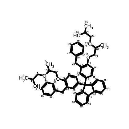 CC(O)COC(C)COc1ccc(C2(c3ccc(OCC(C)OCC(C)O)c(Cc4ccccc4)c3)c3ccccc3-c3ccccc32)cc1Cc1ccccc1